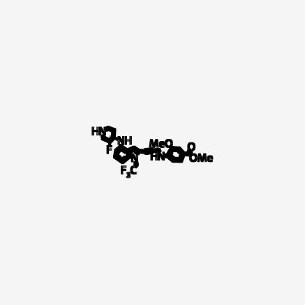 COC(=O)c1ccc(NCC#Cc2cc3c(N[C@@H]4CCNC[C@@H]4F)cccc3n2CC(F)(F)F)c(OC)c1